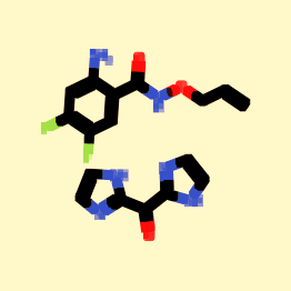 C=CCONC(=O)c1cc(F)c(F)cc1N.O=C(c1ncc[nH]1)c1ncc[nH]1